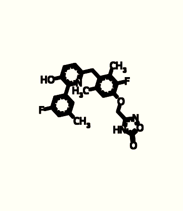 Cc1cc(F)cc(-c2nc(Cc3c(C)cc(OCc4noc(=O)[nH]4)c(F)c3C)ccc2O)c1